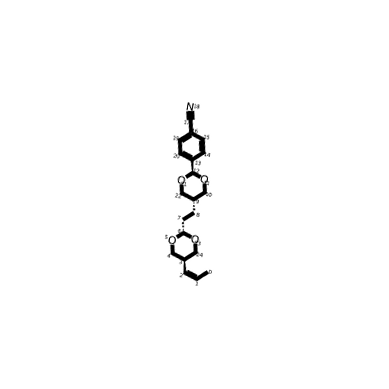 C/C=C\[C@H]1CO[C@H](CC[C@H]2CO[C@H](c3ccc(C#N)cc3)OC2)OC1